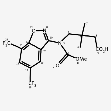 COC(=O)N(CC(C)(C)CC(=O)O)c1noc2c(C(F)(F)F)cc(C(F)(F)F)cc12